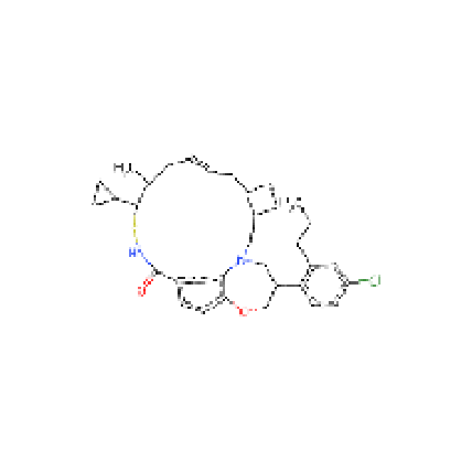 CCCc1cc(Cl)ccc1C1COc2ccc3cc2N(C1)CC1CCC1C/C=C/CC(C)C(C1CC1)SNC3=O